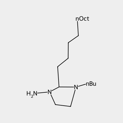 CCCCCCCCCCCCC1N(N)CCN1CCCC